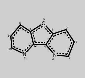 [c]1ccnc2c1oc1cccnc12